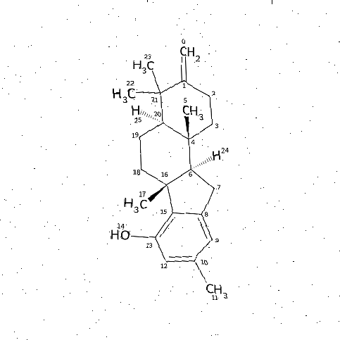 C=C1CC[C@]2(C)[C@H]3Cc4cc(C)cc(O)c4[C@]3(C)CC[C@H]2C1(C)C